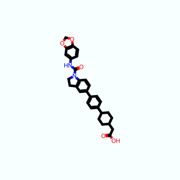 O=C(O)CC1CCC(c2ccc(-c3ccc4c(c3)CCN4C(=O)Nc3ccc4c(c3)OCO4)cc2)CC1